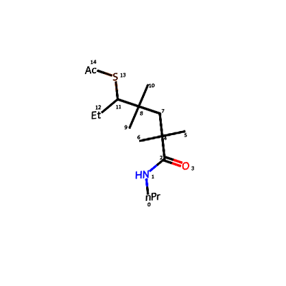 CCCNC(=O)C(C)(C)CC(C)(C)C(CC)SC(C)=O